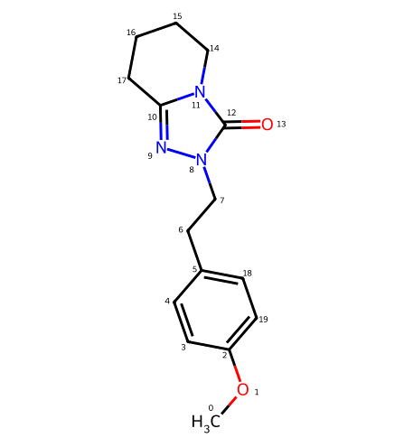 COc1ccc(CCn2nc3n(c2=O)CCCC3)cc1